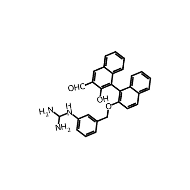 NC(N)Nc1cccc(COc2ccc3ccccc3c2-c2c(O)c(C=O)cc3ccccc23)c1